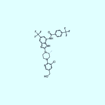 C[C@@H]1CN(c2ncc(CO)cc2Cl)CCN1c1nc2cc(C(F)(F)F)cc(NC(=O)c3ccc(C(F)(F)F)cc3)c2[nH]1